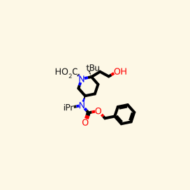 CC(C)N(C(=O)OCc1ccccc1)[C@@H]1CC[C@@](CCO)(C(C)(C)C)N(C(=O)O)C1